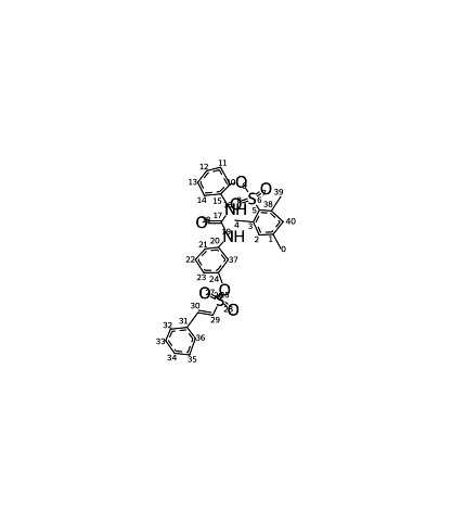 Cc1cc(C)c(S(=O)(=O)Oc2ccccc2NC(=O)Nc2cccc(OS(=O)(=O)C=Cc3ccccc3)c2)c(C)c1